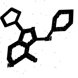 O=c1[nH]ccc2c1c(Nc1ccccc1)nn2C1CCCC1